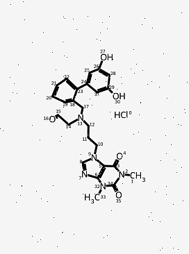 Cl.Cn1c(=O)c2c(ncn2CCCN(CC=O)Cc2ccccc2-c2cc(O)cc(O)c2)n(C)c1=O